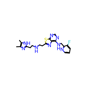 Cc1nc(CCNCCc2nc3c(NCc4ncccc4F)ncnc3s2)[nH]c1C